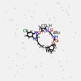 C[C@@H]1[C@@H]2CN(C(=O)[C@H](C(C)(C)C)NC(=O)O[C@@H]3CC4C[C@@H]4[C@H]3CCCCCc3nc4ccc(Cl)cc4nc3O2)[C@@H]1C(=O)O